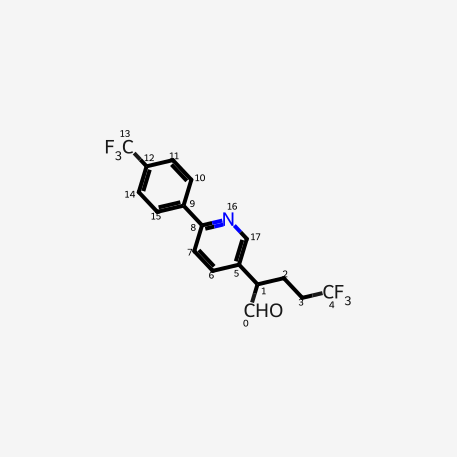 O=CC(CCC(F)(F)F)c1ccc(-c2ccc(C(F)(F)F)cc2)nc1